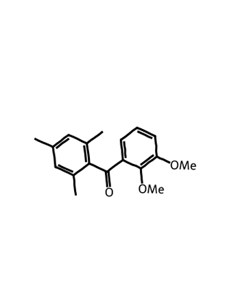 COc1cccc(C(=O)c2c(C)cc(C)cc2C)c1OC